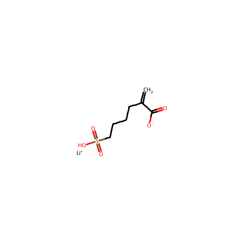 C=C(CCCCS(=O)(=O)O)C(=O)[O-].[Li+]